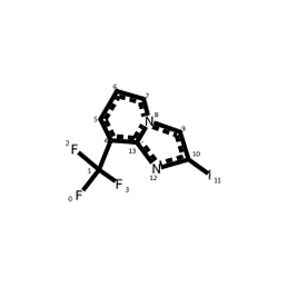 FC(F)(F)c1cccn2cc(I)nc12